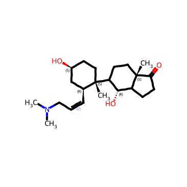 CN(C)C/C=C\[C@H]1C[C@@H](O)CC[C@]1(C)C1CC[C@]2(C)C(=O)CCC2[C@@H]1O